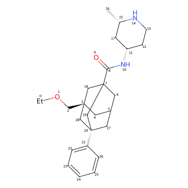 CCOC[C@]12CC3CC(C(=O)N[C@H]4CCN[C@@H](C)C4)(C1)C[C@@](c1ccccc1)(C3)C2